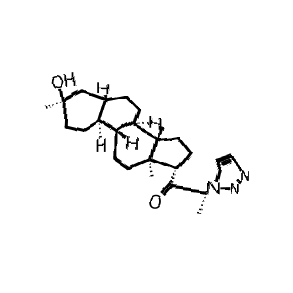 C[C@H](C(=O)[C@H]1CC[C@@]2(C)[C@@H]3CC[C@H]4C[C@](C)(O)CC[C@@H]4[C@H]3CC[C@]12C)n1ccnn1